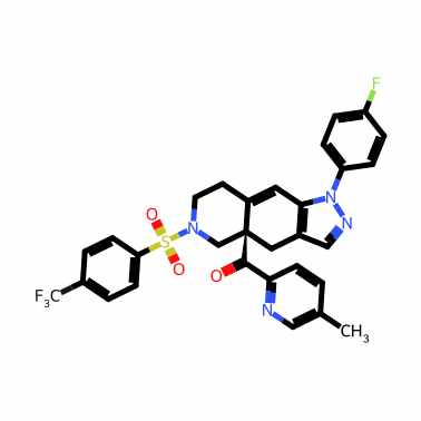 Cc1ccc(C(=O)[C@]23Cc4cnn(-c5ccc(F)cc5)c4C=C2CCN(S(=O)(=O)c2ccc(C(F)(F)F)cc2)C3)nc1